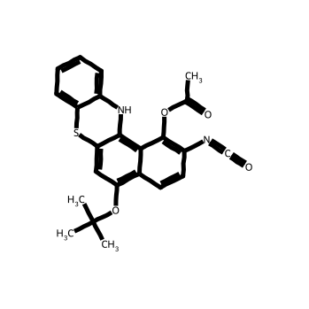 CC(=O)Oc1c(N=C=O)ccc2c(OC(C)(C)C)cc3c(c12)Nc1ccccc1S3